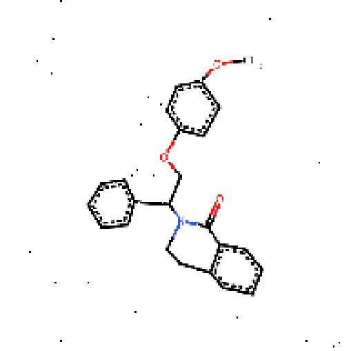 COc1ccc(OCC(c2ccccc2)N2CCc3ccccc3C2=O)cc1